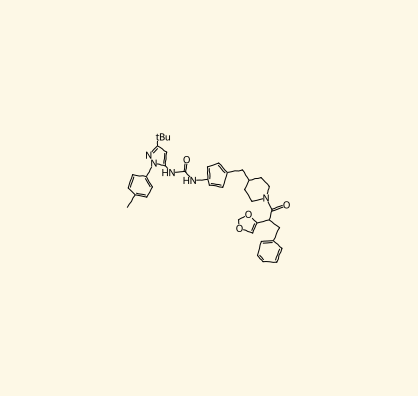 Cc1ccc(-n2nc(C(C)(C)C)cc2NC(=O)Nc2ccc(CC3CCN(C(=O)C(Cc4ccccc4)C4=COCO4)CC3)cc2)cc1